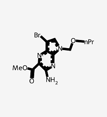 CCCOCn1cc(Br)c2nc(C(=O)OC)c(N)nc21